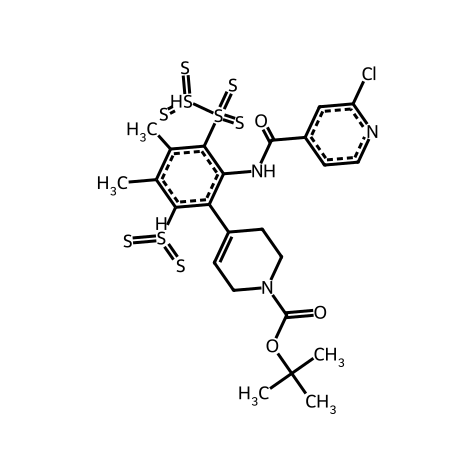 Cc1c(C)c(S(=S)(=S)[SH](=S)=S)c(NC(=O)c2ccnc(Cl)c2)c(C2=CCN(C(=O)OC(C)(C)C)CC2)c1[SH](=S)=S